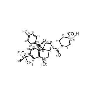 CCN1CC2N(C(=O)[C@H]3CC[C@](C)(C(=O)O)CC3)CCC2(S(=O)(=O)c2ccc(F)cc2)c2ccc(C(F)(C(F)(F)F)C(F)(F)F)cc21